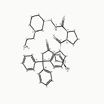 CCCN1CCC[C@H](CNC(=O)[C@H]2CCCN2C(=O)[C@@H]2C[C@@H](O)CN2C(=O)CC(c2ccccc2)(c2ccccc2)c2ccccc2)C1